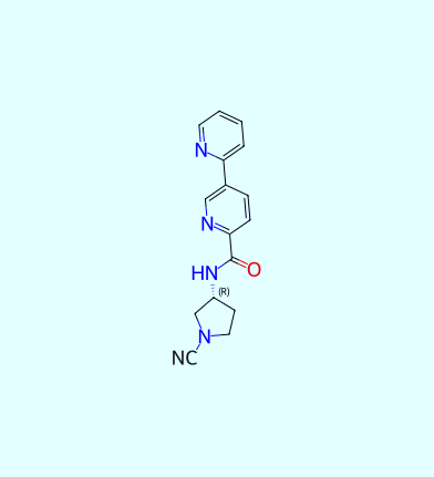 N#CN1CC[C@@H](NC(=O)c2ccc(-c3ccccn3)cn2)C1